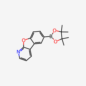 CC1(C)OB(c2ccc3oc4ncccc4c3c2)OC1(C)C